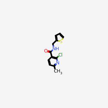 Cc1ccc(C(=O)NCc2cccs2)c(Cl)n1